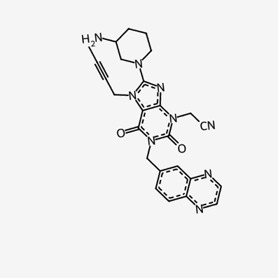 CC#CCn1c(N2CCCC(N)C2)nc2c1c(=O)n(Cc1ccc3nccnc3c1)c(=O)n2CC#N